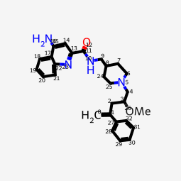 C=C(CC(CN1CCC(CNC(=O)c2cc(N)c3ccccc3n2)CC1)OC)c1ccccc1